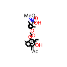 C=C[C@]1(C)C[C@@H](OC(=O)COc2ccc3c(c2C)B(O)N(C(=O)OC)N=C3)[C@]2(C)[C@H](C)CC[C@@](CCC(C)=O)([C@H]2C)[C@@H](C)[C@@H]1O